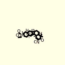 CC(=O)/C=C1/[C@@]2(C)C=C(C#N)C(=O)C(C)(C)[C@@H]2CC[C@@]1(C)[C@]1(C)CC[C@@]2(C)CC[C@](C)(N3CCOC3=O)C[C@H]2C1